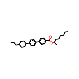 CCCCCCC(C)OC(=O)c1ccc(-c2ccc(C3CCC(CCC)CC3)cc2)cc1